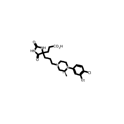 CCc1cc(N2CCN(CCCC3(CCC(=O)O)NC(=O)NC3=O)C[C@@H]2C)ccc1Cl